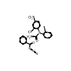 Cc1ccccc1N(C(N)=O)c1ccc([N+](=O)[O-])cc1Cl.[N-]=[N+]=NC(=O)c1ccccc1